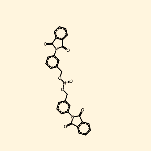 O=C1c2ccccc2C(=O)N1c1cccc(CO[N+](=O)OCc2cccc(N3C(=O)c4ccccc4C3=O)c2)c1